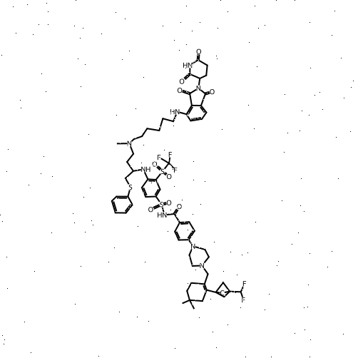 CN(CCCCCCNc1cccc2c1C(=O)N(C1CCC(=O)NC1=O)C2=O)CCC(CSc1ccccc1)Nc1ccc(S(=O)(=O)NC(=O)c2ccc(N3CCN(CC4=C(C56CC(C(F)F)(C5)C6)CC(C)(C)CC4)CC3)cc2)cc1S(=O)(=O)C(F)(F)F